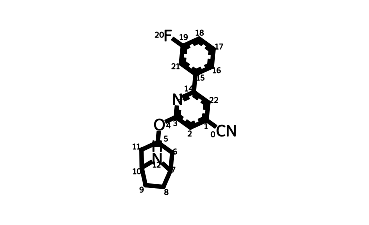 N#Cc1cc(OC2CC3CCC(C2)N3)nc(-c2cccc(F)c2)c1